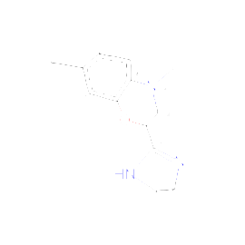 Cc1ccc2c(c1)OC(C1=NCCN1)CN2C